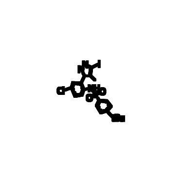 CC1=C(I)N=NC1c1cc(Cl)ccc1NS(=O)(=O)c1ccc(C(C)(C)C)cc1